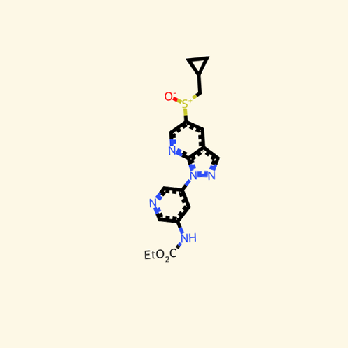 CCOC(=O)Nc1cncc(-n2ncc3cc([S+]([O-])CC4CC4)cnc32)c1